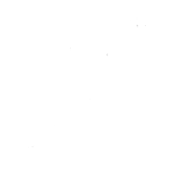 CCCCCC1CCC(CCCC(=O)O)CC1